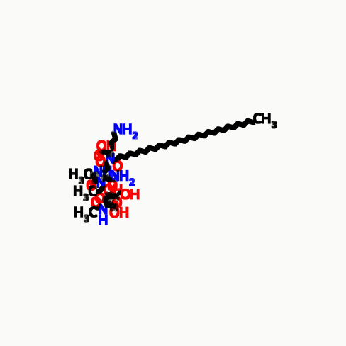 CCCCCCCCCCCCCCCCCCCCCCCCCCCCCC(=O)N(C(=O)CC[C@H](C(N)=O)N(CC(C)O[C@H]1[C@H](O)[C@@H](CO)O[C@H](O)[C@@H]1NC(C)=O)C(=O)[C@H](C)N)[C@@H](CCCCN)C(=O)O